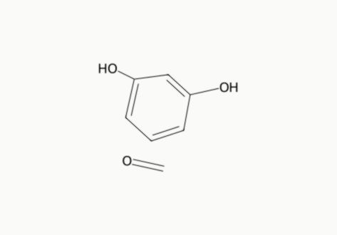 C=O.Oc1cccc(O)c1